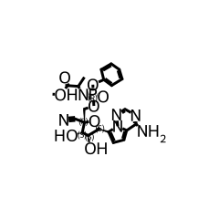 COC(=O)C(C)N[P@@](=O)(OC[C@@]1(C#N)O[C@@H](c2ccc3c(N)ncnn23)[C@@H](O)[C@@H]1O)Oc1ccccc1